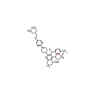 CC1(C)Cc2nc(C3CCN(c4ncc(OCC(CO)CO)cn4)CC3)c(C(F)c3ccc(C(F)(F)F)cc3)c(C3CCC(F)(F)CC3)c2C(O)C1